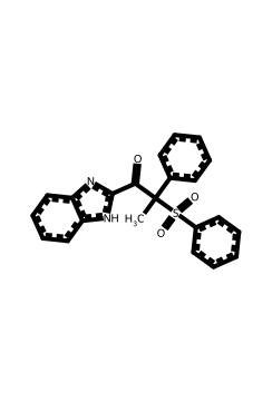 CC(C(=O)c1nc2ccccc2[nH]1)(c1ccccc1)S(=O)(=O)c1ccccc1